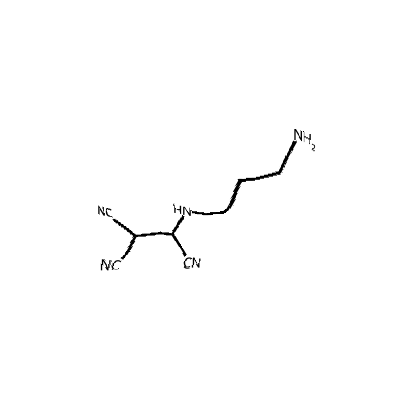 N#CC(C#N)C(C#N)NCCCN